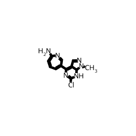 CN1N=CC2=C(C3=CC=C=C(N)N=C3)N=C(Cl)NC21